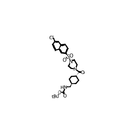 CC(C)(C)OC(=O)NC[C@H]1CC[C@H](C(=O)N2CCN(S(=O)(=O)c3ccc4cc(Cl)ccc4c3)CC2)CC1